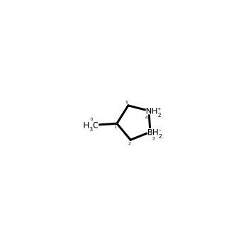 CC1C[BH2-][NH2+]C1